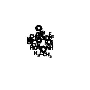 Cc1noc(C)c1-c1ccc2c(-c3nc(N[C@@H]4CN(C(=O)O)CC(C)(C)C4)ncc3C(F)(F)F)cn(S(=O)(=O)c3ccccc3)c2n1